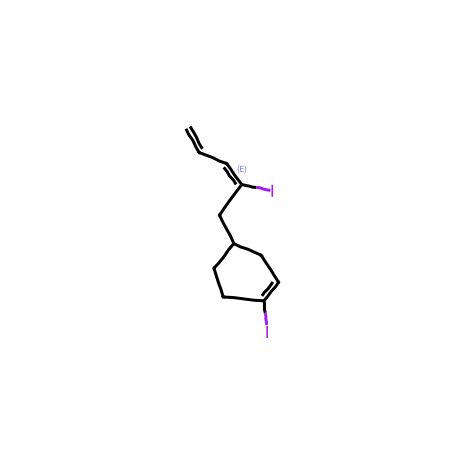 C=C/C=C(/I)CC1CC=C(I)CC1